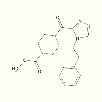 COC(=O)N1CCC(C(=O)c2nccn2CCc2ccccc2)CC1